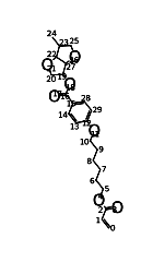 C=CC(=O)OCCCCCCOc1ccc(C(=O)OC2COC3C(C)COC23)cc1